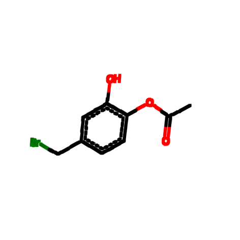 CC(=O)Oc1ccc(CBr)cc1O